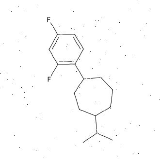 CC(C)C1CCCC(c2ccc(F)cc2F)CC1